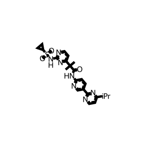 CC(C)c1ccnc(-c2ccc(NC(=O)C(C)(C)c3ccnc(NS(=O)(=O)C4CC4)n3)nc2)n1